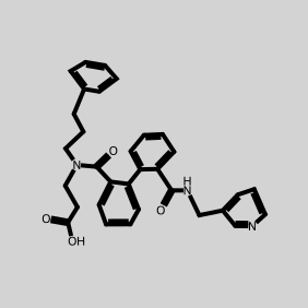 O=C(O)CCN(CCCc1ccccc1)C(=O)c1ccccc1-c1ccccc1C(=O)NCc1cccnc1